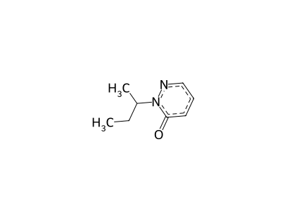 CCC(C)n1ncccc1=O